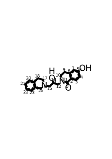 O=C1c2ccc(O)cc2CCN1CC(O)CN1CCc2ccccc2C1